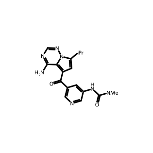 CNC(=O)Nc1cncc(C(=O)c2cc(C(C)C)n3ncnc(N)c23)c1